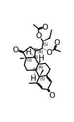 CC[C@H](OC(C)=O)[C@H](OC(C)=O)[C@@H]1CC(=O)[C@@]2(C)CC[C@H]3[C@@H](CCC4=CC(=O)C=C(C)[C@@]43C)[C@H]12